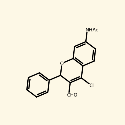 CC(=O)Nc1ccc2c(c1)OC(c1ccccc1)C(C=O)=C2Cl